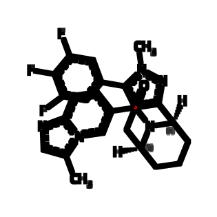 Cc1cnc2ccc(C(=O)N3[C@H]4CCC[C@@H]3c3nn(C)c(-c5cc(F)c(F)c(F)c5)c3C4)cn12